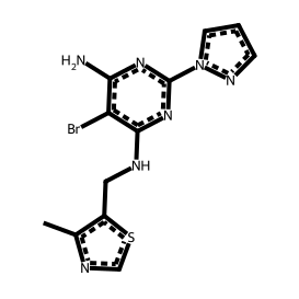 Cc1ncsc1CNc1nc(-n2cccn2)nc(N)c1Br